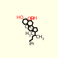 CC(C)CCCC(C)C1CCC2C3CC(O)C4(O)CC(O)CCC4(C)C3CCC12C